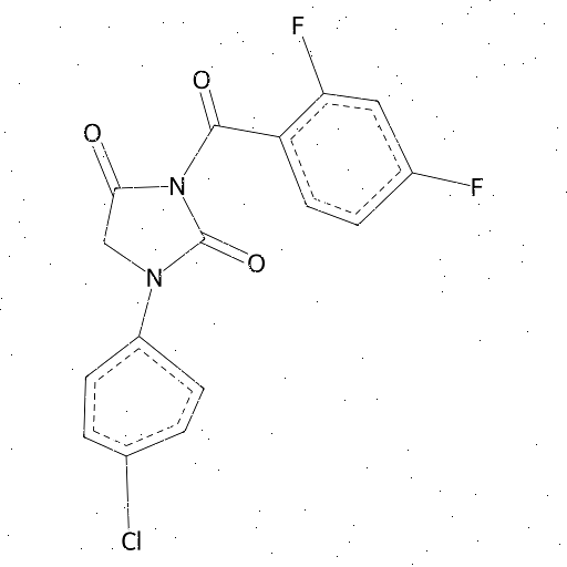 O=C1CN(c2ccc(Cl)cc2)C(=O)N1C(=O)c1ccc(F)cc1F